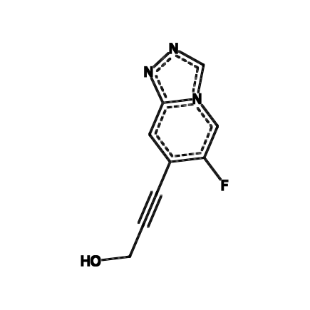 OCC#Cc1cc2nncn2cc1F